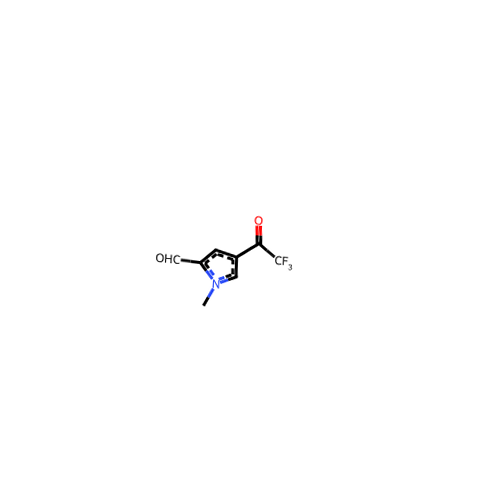 Cn1cc(C(=O)C(F)(F)F)cc1C=O